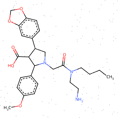 CCCCN(CCN)C(=O)CN1CC(c2ccc3c(c2)OCO3)C(C(=O)O)C1c1ccc(OC)cc1